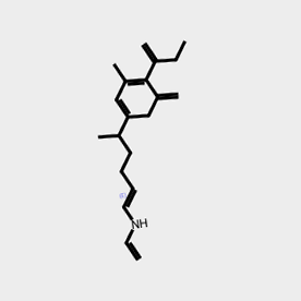 C=CN/C=C/CCC(C)C1=CC(C)=C(C(=C)CC)C(=C)C1